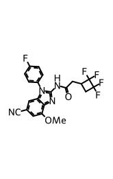 COc1cc(C#N)cc2c1nc(NC(=O)CC1CC(F)(F)C1(F)F)n2-c1ccc(F)cc1